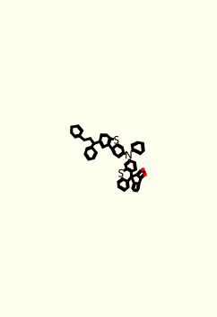 C1=CC(CCC(c2ccccc2)c2ccc3sc4cc(N(c5ccccc5)c5ccc6c(c5)Sc5ccccc5C65c6ccccc6-c6ccccc65)ccc4c3c2)=CCC1